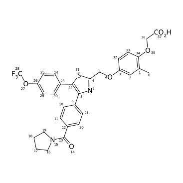 Cc1cc(OCc2nc(-c3ccc(C(=O)N4CCCC4)cc3)c(-c3ccc(OC(F)(F)F)cc3)s2)ccc1OCC(=O)O